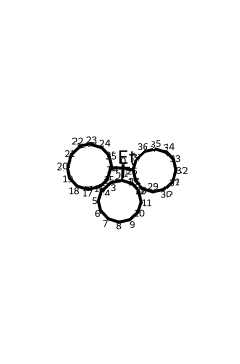 [CH2]CC(C1CCCCCCCCCCC1)(C1CCCCCCCCCCC1)C1CCCCCCCCCCC1